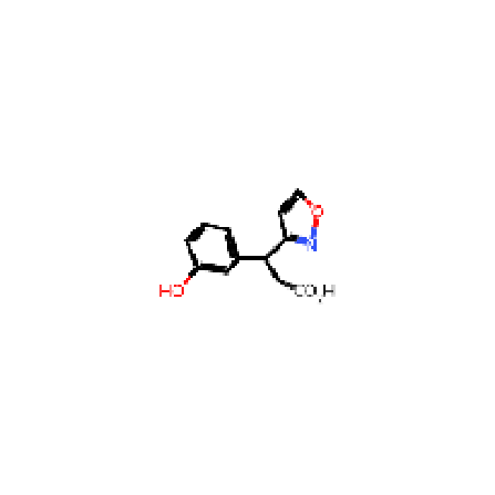 O=C(O)CC(c1cccc(O)c1)c1ccon1